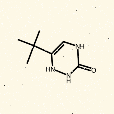 CC(C)(C)C1=CNC(=O)NN1